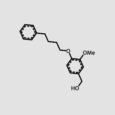 COc1cc(CO)ccc1OCCCCc1ccccc1